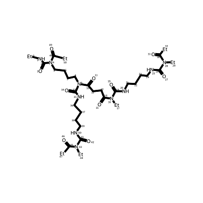 CCNC(=O)N(CCCCN(C(=O)CCC(=O)N(CC)C(=O)NCCCCNC(=O)N(CC)C(=O)CC)C(=O)NCCCCNC(=O)N(CC)C(=O)CC)C(=O)CC